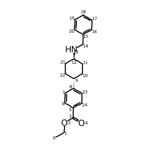 CCOC(=O)c1ccc([C@H]2CC[C@H](NCc3ccccc3)CC2)cc1